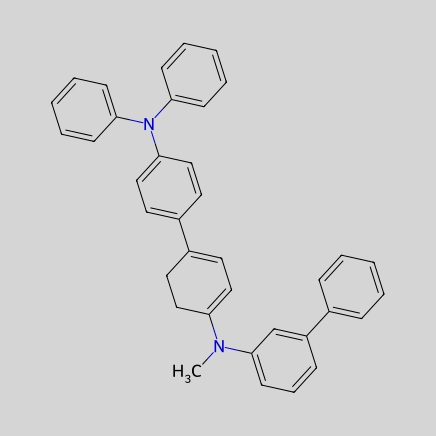 CN(C1=CC=C(c2ccc(N(c3ccccc3)c3ccccc3)cc2)CC1)c1cccc(-c2ccccc2)c1